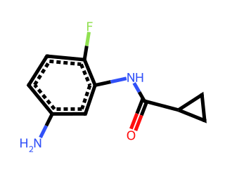 Nc1ccc(F)c(NC(=O)C2CC2)c1